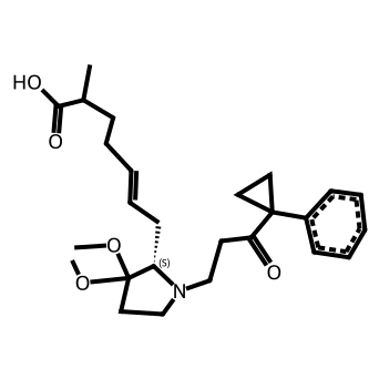 COC1(OC)CCN(CCC(=O)C2(c3ccccc3)CC2)[C@H]1CC=CCCC(C)C(=O)O